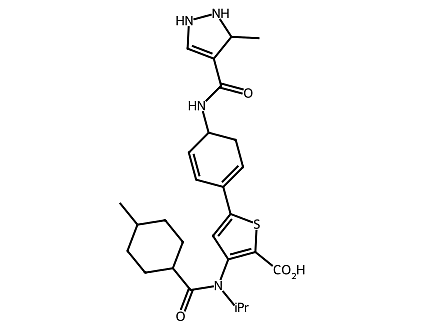 CC1CCC(C(=O)N(c2cc(C3=CCC(NC(=O)C4=CNNC4C)C=C3)sc2C(=O)O)C(C)C)CC1